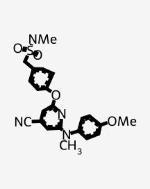 CNS(=O)(=O)Cc1ccc(Oc2cc(C#N)cc(N(C)c3ccc(OC)cc3)n2)cc1